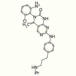 C=C1c2cnc(Nc3ccc(CCCNC(C)C)cc3)nc2NC(=O)N1c1c(N)cccc1Cl